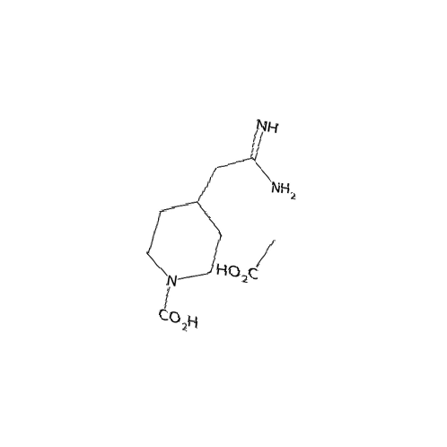 CC(=O)O.N=C(N)CC1CCN(C(=O)O)CC1